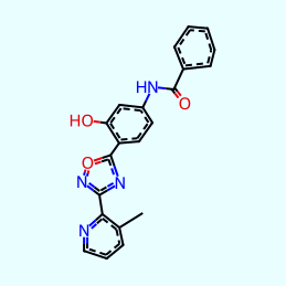 Cc1cccnc1-c1noc(-c2ccc(NC(=O)c3ccccc3)cc2O)n1